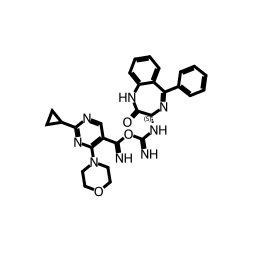 N=C(N[C@H]1N=C(c2ccccc2)c2ccccc2NC1=O)OC(=N)c1cnc(C2CC2)nc1N1CCOCC1